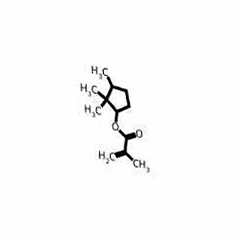 C=C(C)C(=O)OC1CCC(C)C1(C)C